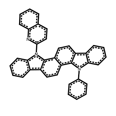 c1ccc(-n2c3ccccc3c3ccc4c(ccc5c6ccccc6n(-c6ccc7ccccc7n6)c54)c32)cc1